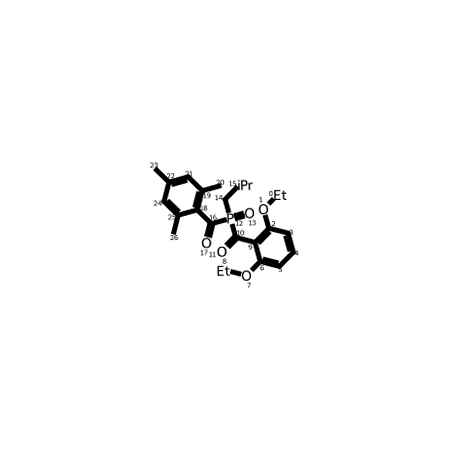 CCOc1cccc(OCC)c1C(=O)P(=O)(CC(C)C)C(=O)c1c(C)cc(C)cc1C